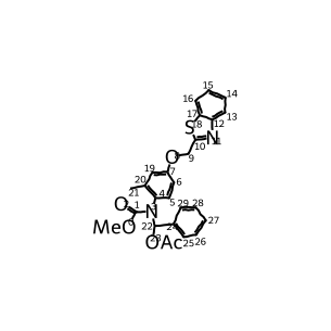 COC(=O)N(c1ccc(OCc2nc3ccccc3s2)cc1C)C(OC(C)=O)c1ccccc1